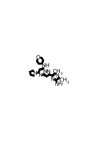 CCCc1nc(-c2cc3nc(N4CCCC4)cc(NC4CCOCC4)n3n2)c(C)nc1C